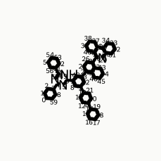 c1ccc(C2=NC(c3cc(-c4ccc(-c5ccccc5)cc4)cc(-c4ccc(-c5nc6ccccc6c6ccccc56)c5ccccc45)c3)NC(c3ccccc3)=N2)cc1